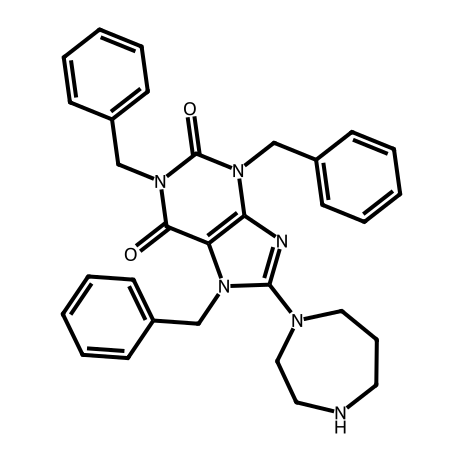 O=c1c2c(nc(N3CCCNCC3)n2Cc2ccccc2)n(Cc2ccccc2)c(=O)n1Cc1ccccc1